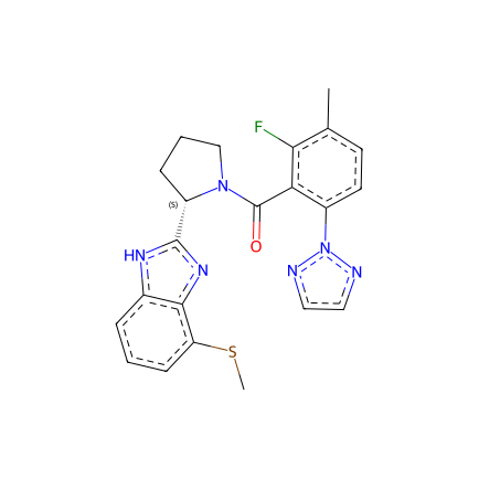 CSc1cccc2[nH]c([C@@H]3CCCN3C(=O)c3c(-n4nccn4)ccc(C)c3F)nc12